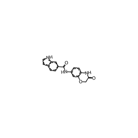 O=C1COc2cc(NC(=O)c3ccc4cc[nH]c4c3)ccc2N1